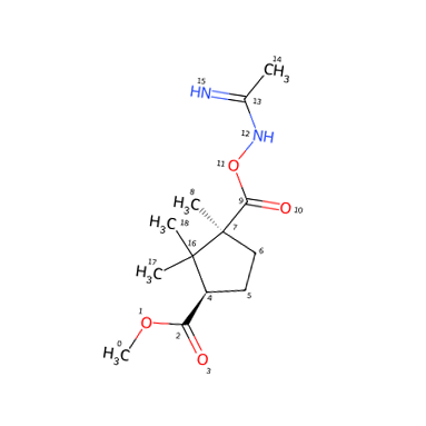 COC(=O)[C@@H]1CC[C@](C)(C(=O)ONC(C)=N)C1(C)C